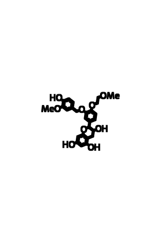 COCCOc1ccc(C2Oc3cc(O)cc(O)c3CC2O)cc1OCc1ccc(O)c(OC)c1